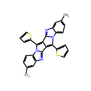 Cc1ccc2c(c1)nc1c3c(-c4cccs4)n4c5ccc(C(F)(F)F)cc5nc4c3c(-c3cccs3)n21